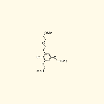 CCc1c(CCOCCOC)cc(OCOC)cc1OCOC